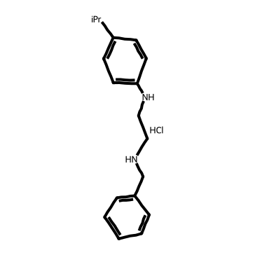 CC(C)c1ccc(NCCNCc2ccccc2)cc1.Cl